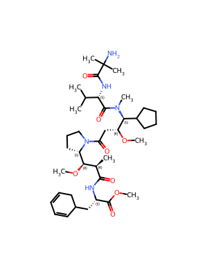 COC(=O)[C@H](CC1C=CC=CC1)NC(=O)[C@H](C)[C@@H](OC)[C@@H]1CCCN1C(=O)C[C@@H](OC)[C@H](C1CCCC1)N(C)C(=O)[C@@H](NC(=O)C(C)(C)N)C(C)C